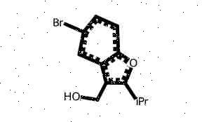 CC(C)c1oc2ccc(Br)cc2c1CO